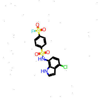 O=S(=O)(F)c1ccc(S(=O)(=O)Nc2ccc(Cl)c3cc[nH]c23)cc1